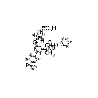 CC(C)(NC(=O)OCc1ccccc1)c1cc(OC2[C@H]3CN(C(=O)O)C[C@@H]23)nc(-c2ccc3c(c2)CC3(F)F)c1